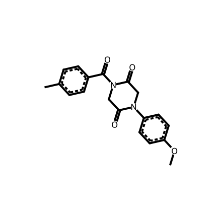 COc1ccc(N2CC(=O)N(C(=O)c3ccc(C)cc3)CC2=O)cc1